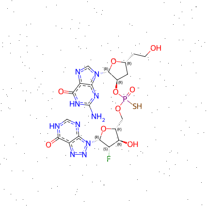 Nc1nc2c(ncn2[C@@H]2O[C@H](CCO)C[C@H]2OP(=O)(S)OC[C@H]2O[C@@H](n3nnc4c(=O)[nH]cnc43)[C@@H](F)[C@@H]2O)c(=O)[nH]1